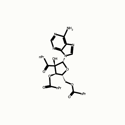 CCCC(=O)OC[C@H]1O[C@@H](n2cnc3c(N)ncnc32)[C@@](O)(C(=O)CCC)[C@@H]1OC(=O)CCC